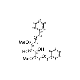 CO[C@H](COCc1ccccc1)[C@@H](O)[C@H](O)[C@@H](COCc1ccccc1)OC